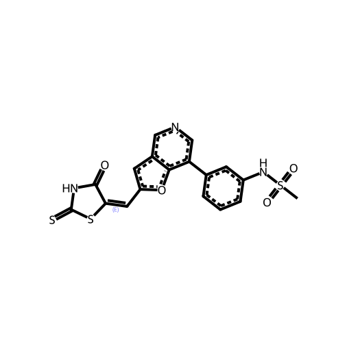 CS(=O)(=O)Nc1cccc(-c2cncc3cc(/C=C4/SC(=S)NC4=O)oc23)c1